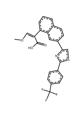 COC=C(C(=O)O)c1cccc2ccc(-c3csc(-c4ccc(C(F)(F)F)cc4)n3)cc12